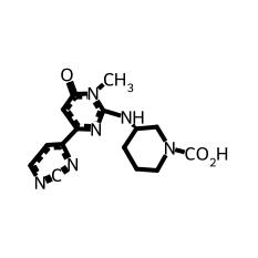 Cn1c(N[C@@H]2CCCN(C(=O)O)C2)nc(-c2ccncn2)cc1=O